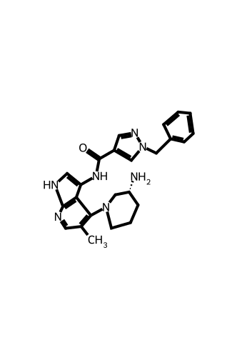 Cc1cnc2[nH]cc(NC(=O)c3cnn(Cc4ccccc4)c3)c2c1N1CCC[C@@H](N)C1